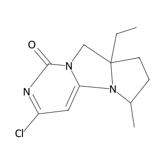 CCC12CCC(C)N1c1cc(Cl)nc(=O)n1C2